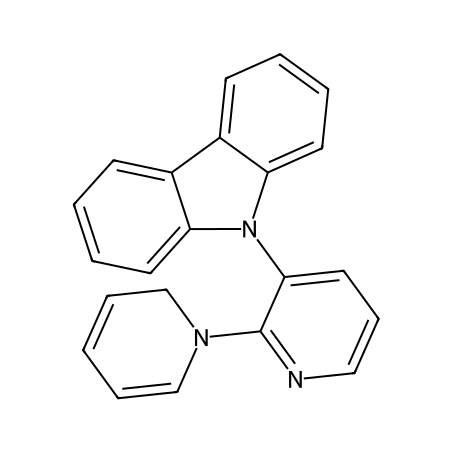 C1=CCN(c2ncccc2-n2c3ccccc3c3ccccc32)C=C1